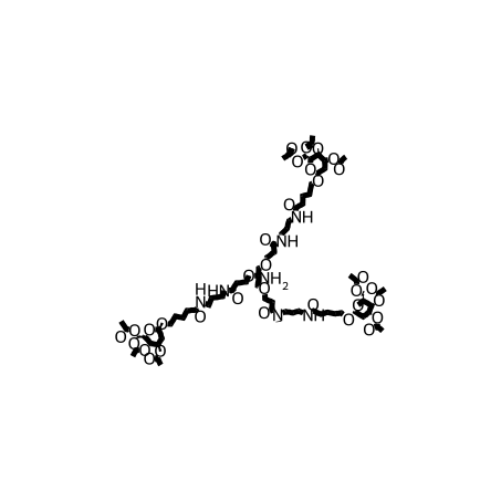 CC(=O)OC[C@H]1O[C@@H](OCCCCC(=O)NCCCNC(=O)CCOC(N)(COCCC(=O)NCCCNC(=O)CCCCO[C@H]2CC(OC(C)=O)[C@@H](OC(C)=O)[C@@H](COC(C)=O)O2)COCCC(=O)N(C)CCCNC(=O)CCCCO[C@H]2C[C@@H](OC(C)=O)[C@@H](OC(C)=O)[C@@H](COC(C)=O)O2)C[C@@H](OC(C)=O)[C@H]1OC(C)=O